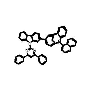 C1=C(c2ccc3c4ccccc4n(-c4nc(-c5ccccc5)cc(-c5ccccc5)n4)c3c2)C=C2CC(=C1)N(c1cccc3ccccc13)c1ccccc12